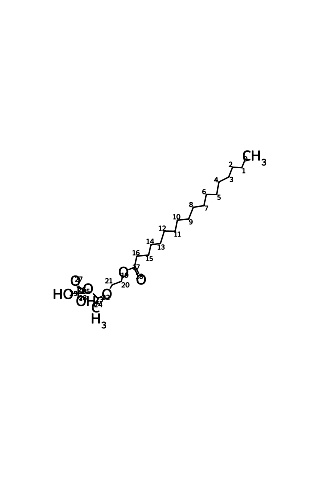 CCCCCCCCCCCCCCCCCC(=O)OCCOC(C)OP(=O)(O)O